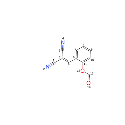 N#CC(C#N)=Cc1ccccc1OC=O